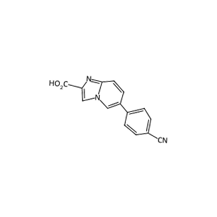 N#Cc1ccc(-c2ccc3nc(C(=O)O)cn3c2)cc1